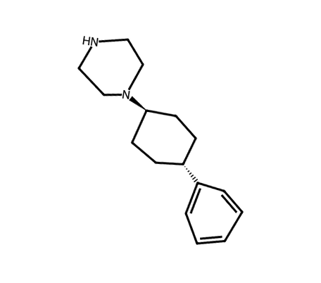 c1ccc([C@H]2CC[C@H](N3CCNCC3)CC2)cc1